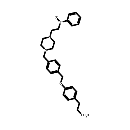 O=C(O)CCc1ccc(OCc2ccc(CN3CCN(CC[S+]([O-])c4ccccc4)CC3)cc2)cc1